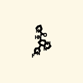 O=C(Nc1cc(-c2ccc(F)nc2)c2nccnc2c1)c1ccccn1